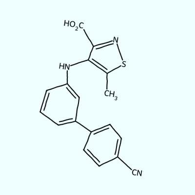 Cc1snc(C(=O)O)c1Nc1cccc(-c2ccc(C#N)cc2)c1